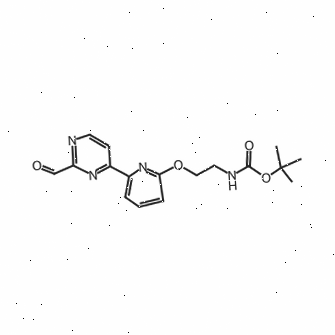 CC(C)(C)OC(=O)NCCOc1cccc(-c2ccnc(C=O)n2)n1